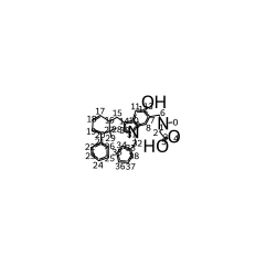 CN(CC(=O)O)Cc1cc2c(cc1O)c(CC1C=CC=C(c3ccccc3)C1(C)C)cn2Cc1ccccc1